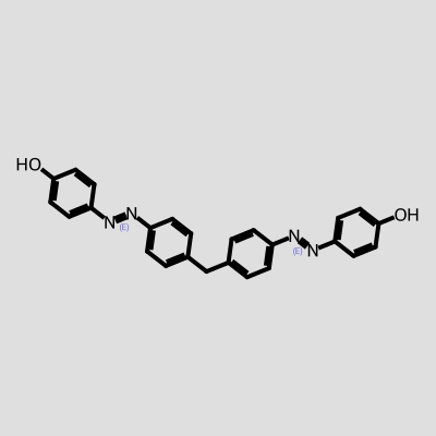 Oc1ccc(/N=N/c2ccc(Cc3ccc(/N=N/c4ccc(O)cc4)cc3)cc2)cc1